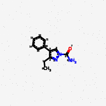 CCc1nn(C(N)=O)cc1-c1ccccc1